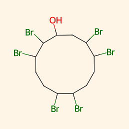 OC1CC(Br)C(Br)CCC(Br)C(Br)CCC(Br)C1Br